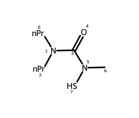 CCCN(CCC)C(=O)N(C)S